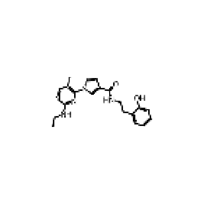 CCNc1ncc(C)c(-n2ccc(C(=O)NCCc3ccccc3O)c2)n1